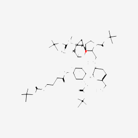 CN(C(=O)OC(C)(C)C)[C@@]12C[C@]1(O)CO[C@H](O[C@H]1[C@H](NC(=O)[C@@H](O)CCNC(=O)OC(C)(C)C)C[C@H](NC(=O)OC(C)(C)C)C([C@H]3OC(CN)=CC[C@H]3NCC3CCCN3C(=O)OC(C)(C)C)[C@@H]1O)[C@@H]2O